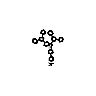 C[Si](C)(C)c1ccc(-c2ccc(-n3cc(-c4cc(-c5ccccc5)cc(-c5ccccc5)c4)c4cc(-c5cc(-c6ccccc6)cc(-c6ccccc6)c5)ccc43)cc2)cc1